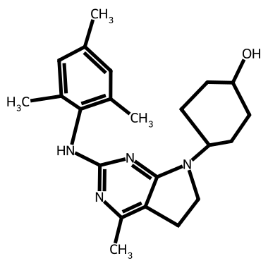 Cc1cc(C)c(Nc2nc(C)c3c(n2)N(C2CCC(O)CC2)CC3)c(C)c1